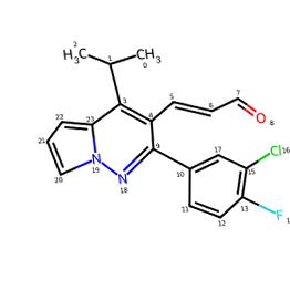 CC(C)c1c(C=CC=O)c(-c2ccc(F)c(Cl)c2)nn2cccc12